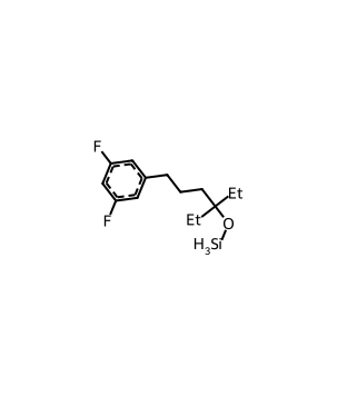 CCC(CC)(CCCc1cc(F)cc(F)c1)O[SiH3]